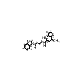 C=C1C=C(NCCCN[C@@H]2COc3ccccc32)Nc2ccsc21